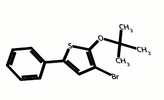 CC(C)(C)Oc1sc(-c2ccccc2)cc1Br